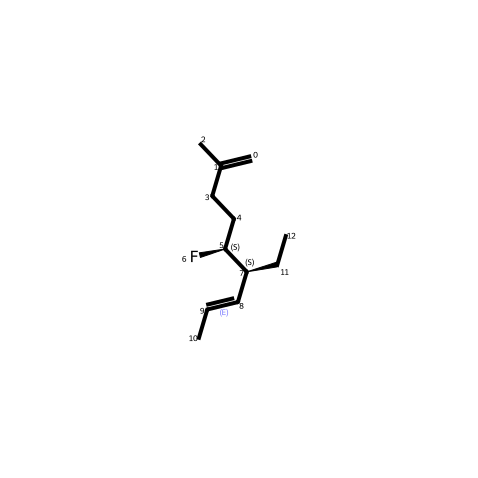 C=C(C)CC[C@H](F)[C@H](/C=C/C)CC